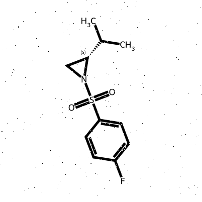 CC(C)[C@H]1CN1S(=O)(=O)c1ccc(F)cc1